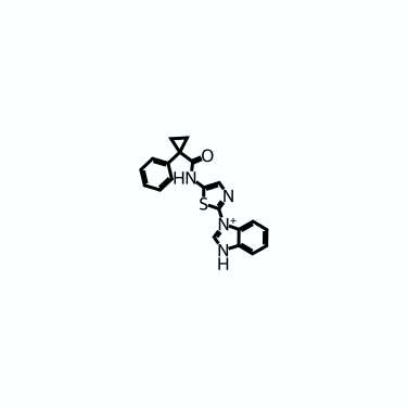 O=C(Nc1cnc(-[n+]2c[nH]c3ccccc32)s1)C1(c2ccccc2)CC1